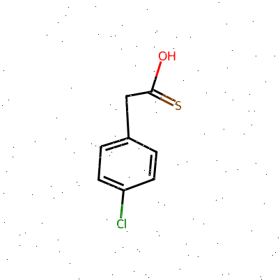 OC(=S)Cc1ccc(Cl)cc1